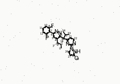 CC[C@H](C)c1cc(-c2c(F)cccc2F)nnc1[C@](C)(c1ccnc(-n2ccc(=O)[nH]2)n1)C(C)C